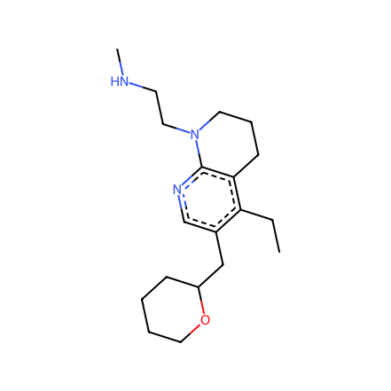 CCc1c(CC2CCCCO2)cnc2c1CCCN2CCNC